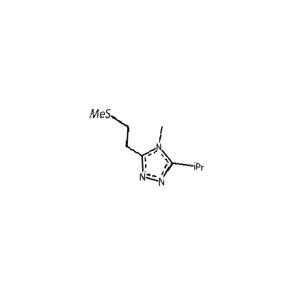 CSCCc1nnc(C(C)C)n1C